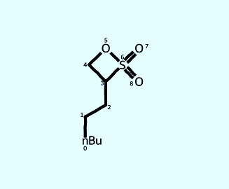 CCCCCCC1COS1(=O)=O